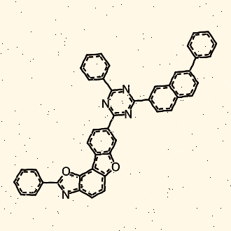 c1ccc(-c2ccc3ccc(-c4nc(-c5ccccc5)nc(-c5ccc6c(c5)oc5ccc7nc(-c8ccccc8)oc7c56)n4)cc3c2)cc1